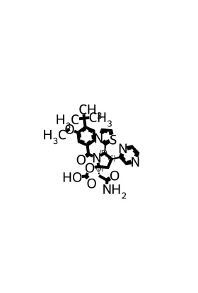 COc1cc(C(=O)N2[C@@H](c3nccs3)[C@@H](c3cnccn3)C[C@@]2(CC(N)=O)OC(=O)O)ccc1C(C)(C)C